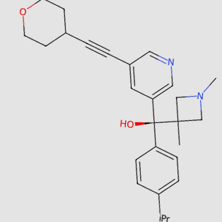 CC(C)c1ccc([C@](O)(c2cncc(C#CC3CCOCC3)c2)C2(C)CN(C)C2)cc1